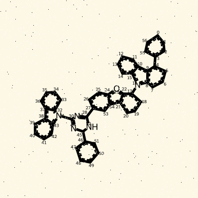 c1ccc(-c2cccc3c2c2ccccc2n3-c2cccc3c2oc2ccc(C4=NC(n5c6ccccc6c6ccccc65)=NC(c5ccccc5)N4)cc23)cc1